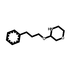 c1ccc(CCCOC2COCCN2)cc1